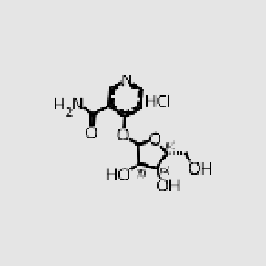 Cl.NC(=O)c1cnccc1OC1O[C@H](CO)[C@@H](O)[C@H]1O